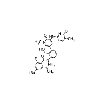 C=Cc1cc(C(C)(C)C)cc(F)c1C(=O)N(N)c1cccc(-c2cc(Nc3ccn(C)c(=O)n3)c(=O)n(C)c2)c1CO